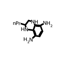 CCCC1CNc2c(N)ccc(N)c2N1